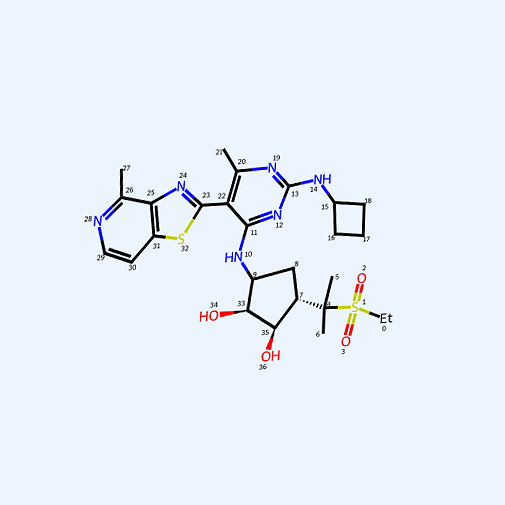 CCS(=O)(=O)C(C)(C)[C@H]1CC(Nc2nc(NC3CCC3)nc(C)c2-c2nc3c(C)nccc3s2)[C@H](O)[C@@H]1O